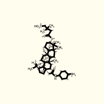 C=C(C)[C@@H]1CC[C@]2(CC(=O)NC3CCC(N)CC3)CC[C@]3(C)[C@H](CC[C@@H]4[C@@]5(C)CC[C@H](OC(=O)CC(C)(C)CC(=O)O)C(C)(C)[C@@H]5CC[C@]43C)[C@@H]12